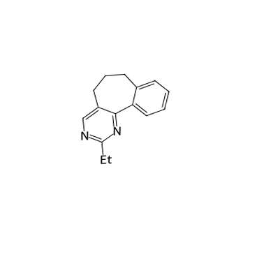 CCc1ncc2c(n1)-c1ccccc1CCC2